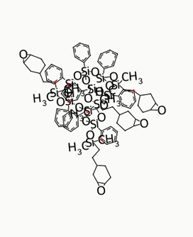 C[Si](C)(CCC1CCC2OC2C1)O[Si]1(c2ccccc2)O[Si]2(c3ccccc3)OC3O[Si](O[Si](C)(C)CCC4CCC5OC5C4)(c4ccccc4)O[Si]3(c3ccccc3)O[Si](O[Si](C)(C)CCC3CCC4OC4C3)(c3ccccc3)O[SiH](c3ccccc3)O[Si](c3ccccc3)(O1)O[Si](O[Si](C)(C)CCC1CCC3OC3C1)(c1ccccc1)O2